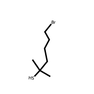 CC(C)(S)CCCCBr